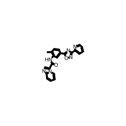 Cc1ccc(-c2nc(-c3ccccn3)no2)cc1NC(=O)c1cnc2ccccn12